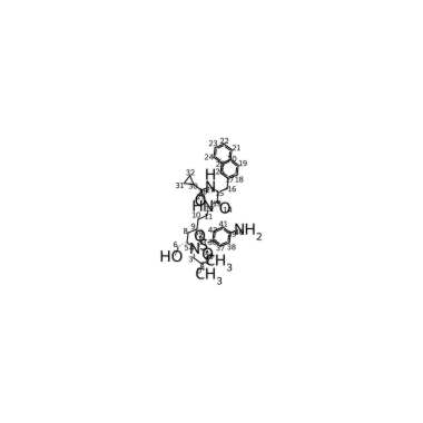 CC(C)CN([C@H](CO)CCCCNC(=O)[C@H](Cc1ccc2ccccc2c1)NC(=O)C1CC1)S(=O)(=O)c1ccc(N)cc1